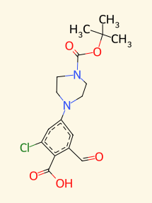 CC(C)(C)OC(=O)N1CCN(c2cc(Cl)c(C(=O)O)c(C=O)c2)CC1